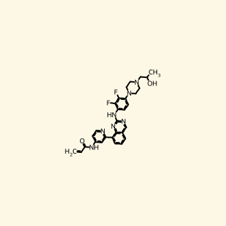 C=CC(=O)Nc1ccnc(-c2cccc3cnc(Nc4ccc(N5CCN(CC(C)O)CC5)c(F)c4F)nc23)c1